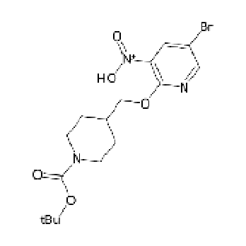 CC(C)(C)OC(=O)N1CCC(COc2ncc(Br)cc2[N+](=O)O)CC1